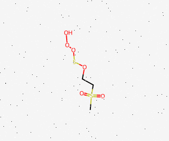 CS(=O)(=O)CCOSOOO